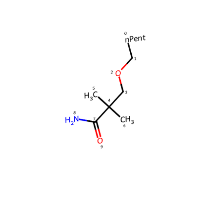 CCCCCCOCC(C)(C)C(N)=O